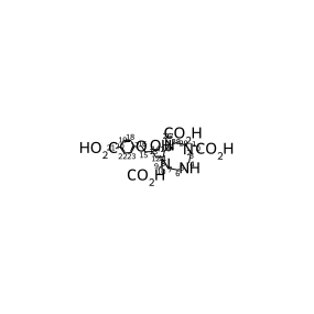 O=C(O)CN1CCNCCN(CC(=O)O)C(CC(O)COc2ccc(C(=O)O)cc2)CN(CC(=O)O)CC1